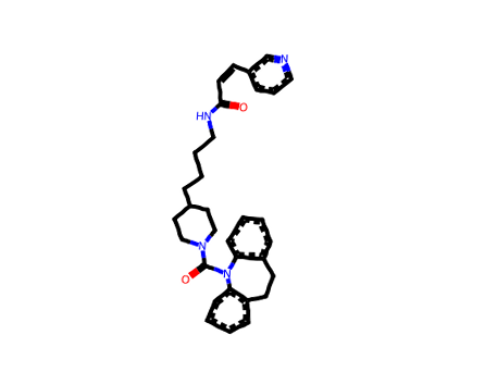 O=C(/C=C\c1cccnc1)NCCCCC1CCN(C(=O)N2c3ccccc3CCc3ccccc32)CC1